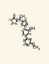 C=C(c1nnc(-c2ccc(-c3ncnc(OC)n3)cc2O)s1)[C@H]1CCC[C@H]1F